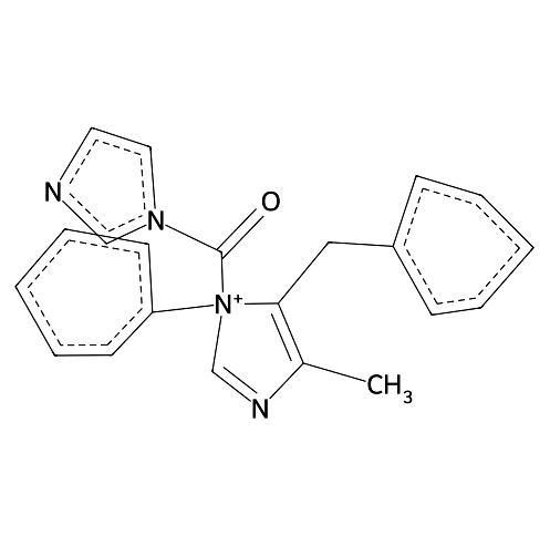 CC1=C(Cc2ccccc2)[N+](C(=O)n2ccnc2)(c2ccccc2)C=N1